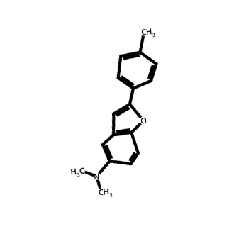 Cc1ccc(-c2cc3cc(N(C)C)ccc3o2)cc1